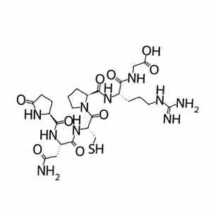 N=C(N)NCCC[C@H](NC(=O)[C@@H]1CCCN1C(=O)[C@H](CS)NC(=O)[C@H](CC(N)=O)NC(=O)[C@@H]1CCC(=O)N1)C(=O)NCC(=O)O